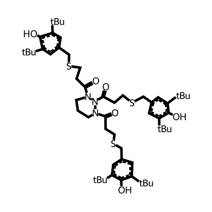 CC(C)(C)c1cc(CSCCC(=O)N2CCCN(C(=O)CCSCc3cc(C(C)(C)C)c(O)c(C(C)(C)C)c3)N2C(=O)CCSCc2cc(C(C)(C)C)c(O)c(C(C)(C)C)c2)cc(C(C)(C)C)c1O